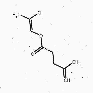 [CH]=C(C)CCC(=O)OC=C(C)Cl